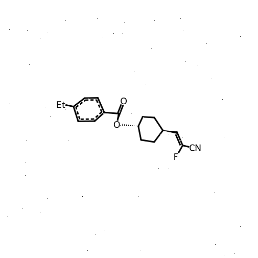 CCc1ccc(C(=O)O[C@H]2CC[C@H](C=C(F)C#N)CC2)cc1